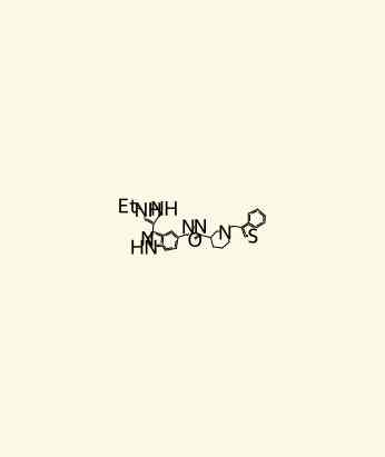 CCN/C=C(\C=N)c1n[nH]c2ccc(-c3nnc(C4CCCN(Cc5csc6ccccc56)C4)o3)cc12